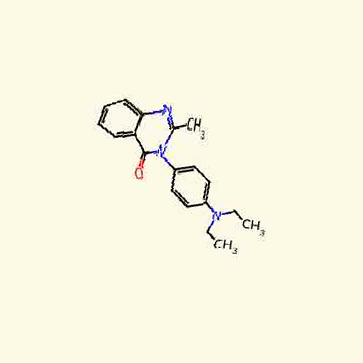 CCN(CC)c1ccc(-n2c(C)nc3ccccc3c2=O)cc1